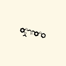 CC(C)Oc1ccccc1OCCNCc1cccc(OC2C=CCCC2)c1